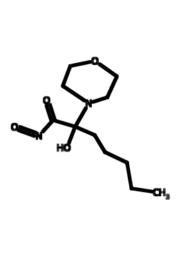 CCCCCC(O)(C(=O)N=O)N1CCOCC1